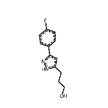 OCCCc1cc(-c2ccc(F)cc2)n[nH]1